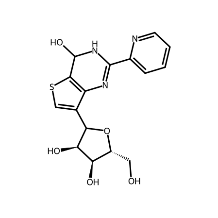 OC[C@H]1OC(c2csc3c2N=C(c2ccccn2)NC3O)[C@H](O)[C@@H]1O